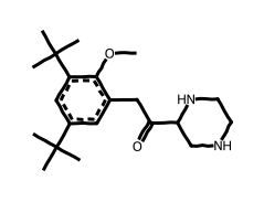 COc1c(CC(=O)C2CNCCN2)cc(C(C)(C)C)cc1C(C)(C)C